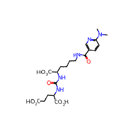 CN(C)c1ccc(C(=O)NCCCCC(NC(=O)NC(CCC(=O)O)C(=O)O)C(=O)O)cn1